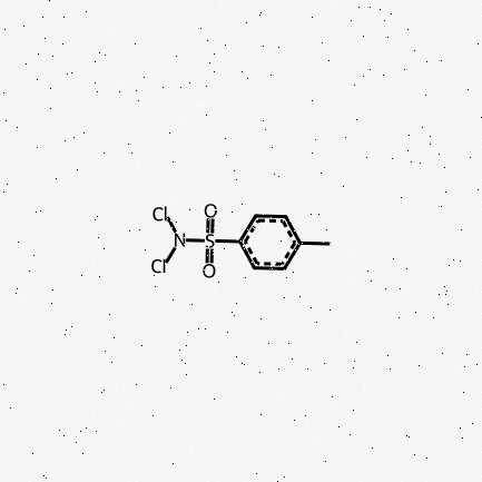 Cc1ccc(S(=O)(=O)N(Cl)Cl)cc1